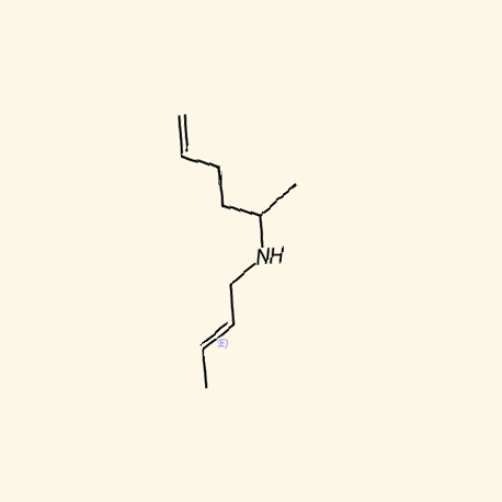 C=CCCC(C)NC/C=C/C